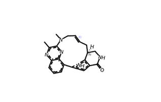 Cc1nc2cccc3c2nc1N(C)C/C=C/C[C@H]1CNC(=O)c2cc-3[nH]c21